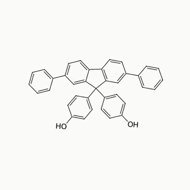 Oc1ccc(C2(c3ccc(O)cc3)c3cc(-c4ccccc4)ccc3-c3ccc(-c4ccccc4)cc32)cc1